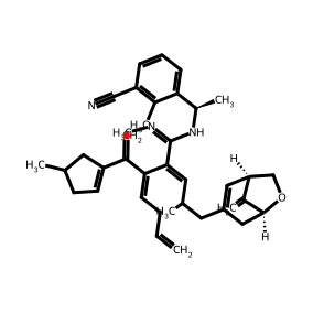 C=CC\C=C(C(=C)C1=CCC(C)C1)/C(=C\C(C)CC1=C[C@H]2CO[C@@H](C1)C2=C)C(=N\C)/N[C@H](C)c1cccc(C#N)c1C